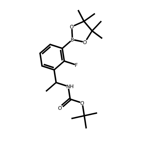 CC(NC(=O)OC(C)(C)C)c1cccc(B2OC(C)(C)C(C)(C)O2)c1F